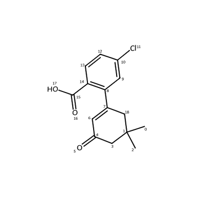 CC1(C)CC(=O)C=C(c2cc(Cl)ccc2C(=O)O)C1